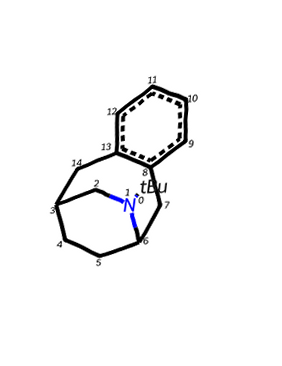 CC(C)(C)N1CC2CCC1Cc1ccccc1C2